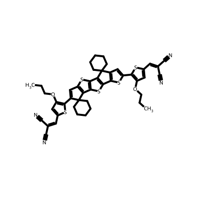 CCCOc1cc(C=C(C#N)C#N)sc1C1=Cc2sc3c4c(sc3c2C12CCCCC2)-c1sc(-c2sc(C=C(C#N)C#N)cc2OCCC)cc1C41CCCCC1